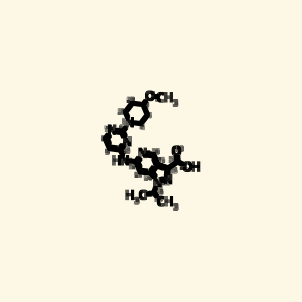 COC1CCN(c2nccc(Nc3cc4c(cn3)c(C(=O)O)nn4C(C)C)n2)CC1